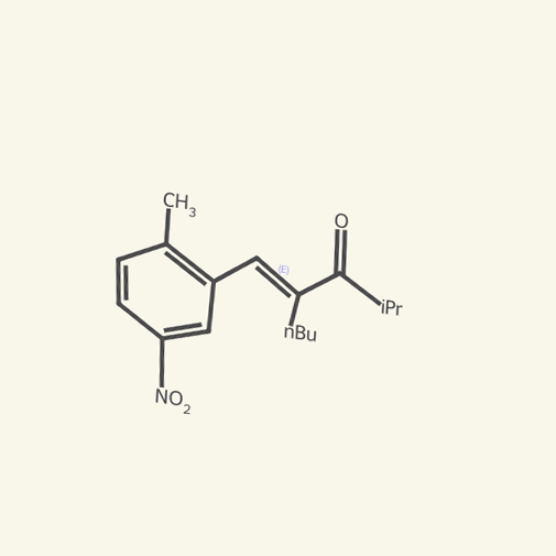 CCCC/C(=C\c1cc([N+](=O)[O-])ccc1C)C(=O)C(C)C